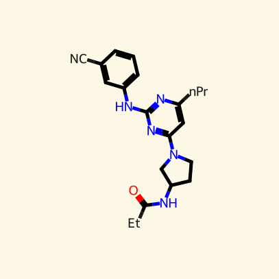 CCCc1cc(N2CCC(NC(=O)CC)C2)nc(Nc2cccc(C#N)c2)n1